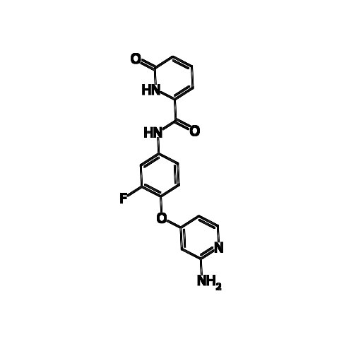 Nc1cc(Oc2ccc(NC(=O)c3cccc(=O)[nH]3)cc2F)ccn1